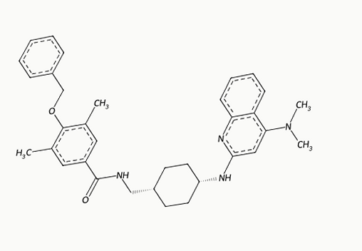 Cc1cc(C(=O)NC[C@H]2CC[C@@H](Nc3cc(N(C)C)c4ccccc4n3)CC2)cc(C)c1OCc1ccccc1